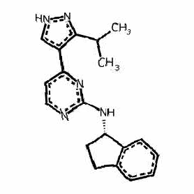 CC(C)c1n[nH]cc1-c1ccnc(N[C@H]2CCc3ccccc32)n1